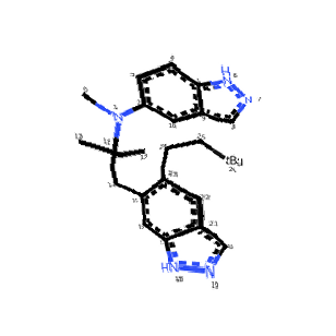 CN(c1ccc2[nH]ncc2c1)C(C)(C)Cc1cc2[nH]ncc2cc1CCC(C)(C)C